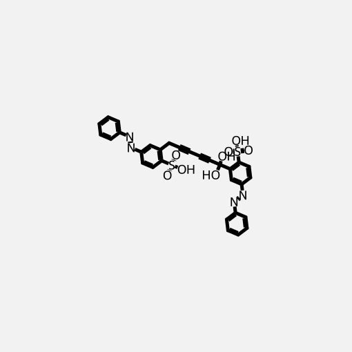 O=S(=O)(O)c1ccc(N=Nc2ccccc2)cc1CC#CC#CC(O)(O)c1cc(N=Nc2ccccc2)ccc1S(=O)(=O)O